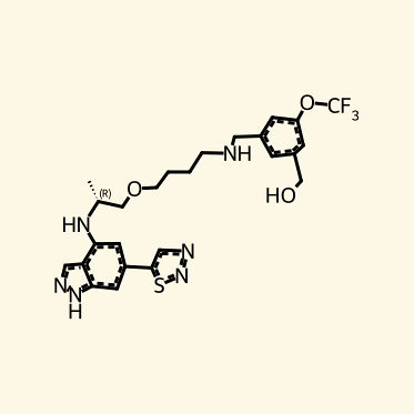 C[C@H](COCCCCNCc1cc(CO)cc(OC(F)(F)F)c1)Nc1cc(-c2cnns2)cc2[nH]ncc12